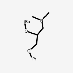 CC(C)OCC(CN(C)C)OC(C)(C)C